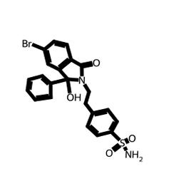 NS(=O)(=O)c1ccc(CCN2C(=O)c3ccc(Br)cc3C2(O)c2ccccc2)cc1